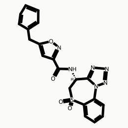 O=C(N[C@H]1CS(=O)(=O)c2ccccc2-n2nnnc21)c1cc(Cc2ccccc2)on1